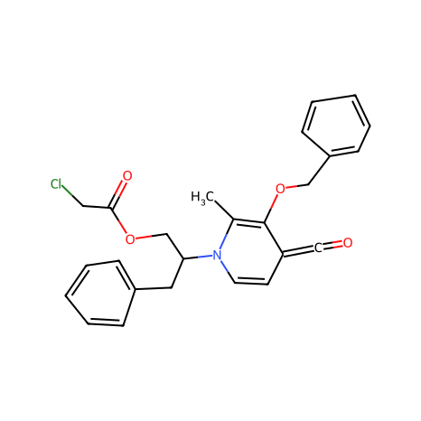 CC1=C(OCc2ccccc2)C(=C=O)C=CN1C(COC(=O)CCl)Cc1ccccc1